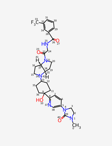 CN1CCN(c2ccc(C3(O)CCC(N4CC[C@H]5[C@@H]4CCN5C(=O)CNC(=O)c4cccc(C(F)(F)F)c4)CC3)nc2)C1=O